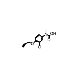 C#CCOc1ccc(NC(=O)O)cc1Cl